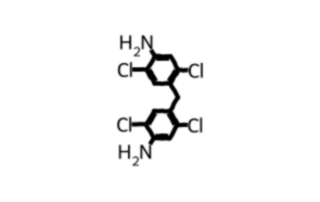 Nc1cc(Cl)c(Cc2cc(Cl)c(N)cc2Cl)cc1Cl